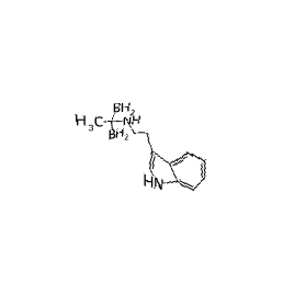 BC(B)(C)NCCc1c[nH]c2ccccc12